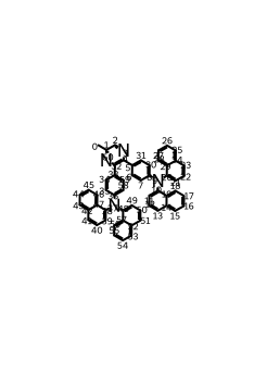 Cc1cnc(-c2ccc(N(c3cccc4ccccc34)c3cccc4ccccc34)cc2)c(-c2ccc(N(c3cccc4ccccc34)c3cccc4ccccc34)cc2)n1